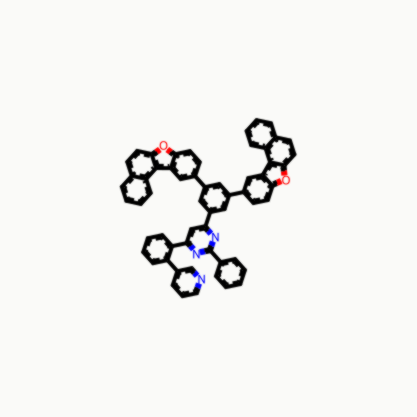 c1ccc(-c2nc(-c3cc(-c4ccc5oc6ccc7ccccc7c6c5c4)cc(-c4ccc5oc6ccc7ccccc7c6c5c4)c3)cc(-c3ccccc3-c3cccnc3)n2)cc1